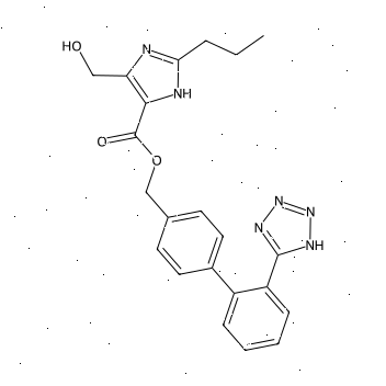 CCCc1nc(CO)c(C(=O)OCc2ccc(-c3ccccc3-c3nnn[nH]3)cc2)[nH]1